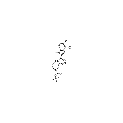 Cn1c(C(=O)NC2(C#N)CCCN(C(=O)OC(C)(C)C)C2)cc2c(Cl)c(Cl)ccc21